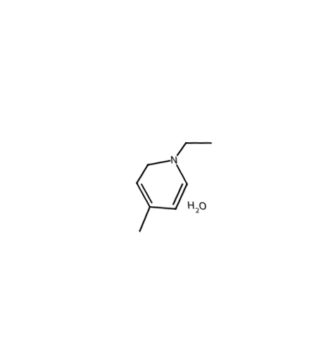 CCN1C=CC(C)=CC1.O